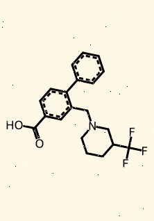 O=C(O)c1ccc(-c2ccccc2)c(CN2CCCC(C(F)(F)F)C2)c1